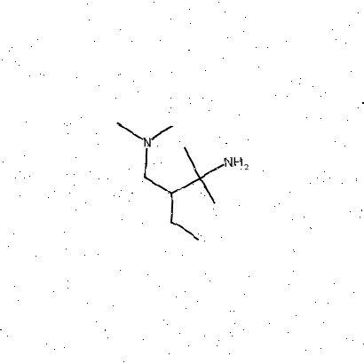 CCC(CN(C)C)C(C)(C)N